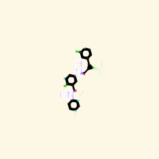 O=C(Nc1ccc(F)cc1F)c1cc(NC(=O)C2C(c3ccc(F)c(Cl)c3)C2(Cl)Cl)cc(F)c1Cl